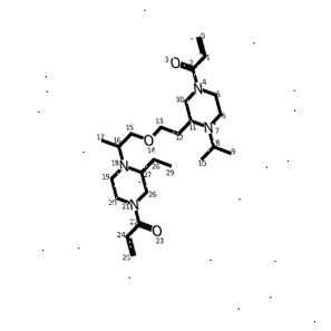 C=CC(=O)N1CCN(C(C)C)C(CCOCC(C)N2CCN(C(=O)C=C)CC2CC)C1